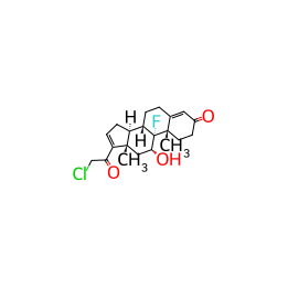 C[C@]12CCC(=O)C=C1CC[C@H]1[C@@H]3CC=C(C(=O)CCl)[C@@]3(C)C[C@H](O)[C@@]12F